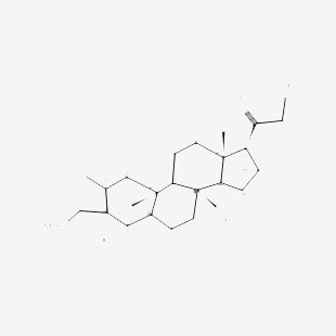 COC[C@]1(O)C[C@@H]2CC[C@@H]3[C@H](CC[C@]4(C)[C@@H](C(=O)CBr)CC[C@@H]34)[C@@]2(C)CC1C(C)=O